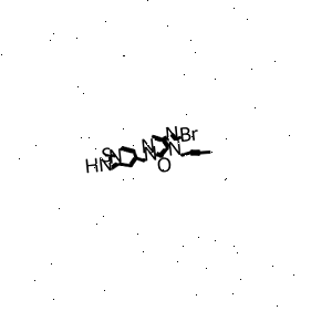 CC#CCn1c(Br)nc2cnn(CC3=CC4=CNSN4C=C3)c(=O)c21